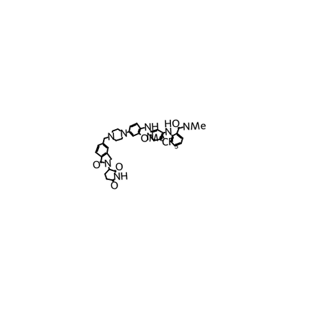 CNC(=O)c1ccccc1Nc1cc(Nc2ccc(N3CCN(Cc4ccc5c(c4)CN(C4CCC(=O)NC4=O)C5=O)CC3)cc2OC)ncc1C(F)(F)F